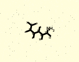 CC(C)C(C)C(C)C(C)C(C)C(C)N